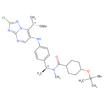 CO[C@@H](C)c1c(Nc2ccc([C@@H](N(C)C(=O)C3CCC(O[Si](C)(C)C(C)(C)C)CC3)C(F)(F)F)cc2)cnc2nc(Cl)nn12